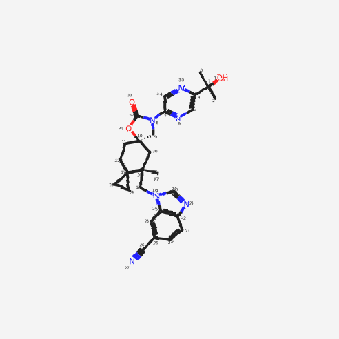 CC(C)(O)c1cnc(N2C[C@]3(CCC4(CC4)[C@@](C)(Cn4cnc5ccc(C#N)cc54)C3)OC2=O)cn1